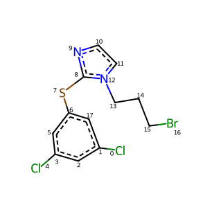 Clc1cc(Cl)cc(Sc2nccn2CCCBr)c1